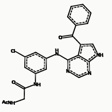 CC(=O)NCC(=O)Nc1cc(Cl)cc(Nc2ncnc3[nH]cc(C(=O)c4ccccc4)c23)c1